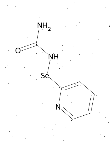 NC(=O)N[Se]c1ccccn1